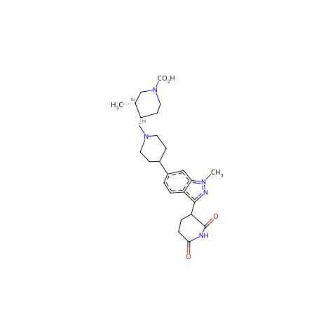 C[C@@H]1CN(C(=O)O)CC[C@@H]1CN1CCC(c2ccc3c(C4CCC(=O)NC4=O)nn(C)c3c2)CC1